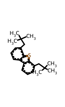 CC(C)(C)Cc1cccc2c1sc1c(CC(C)(C)C)cccc12